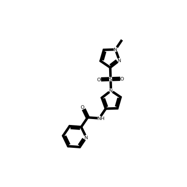 Cn1ccc(S(=O)(=O)n2ccc(NC(=O)c3ccccn3)c2)n1